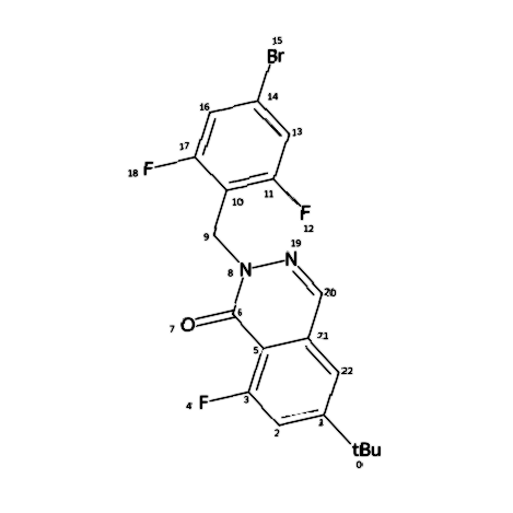 CC(C)(C)c1cc(F)c2c(=O)n(Cc3c(F)cc(Br)cc3F)ncc2c1